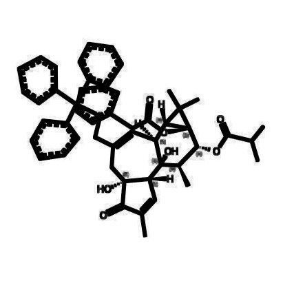 CC1=C[C@H]2[C@@]3(O)[C@H](C)[C@@H](OC(=O)C(C)C)[C@]4(OC(=O)Cc5ccccc5)[C@H]([C@@H]3C=C(COC(c3ccccc3)(c3ccccc3)c3ccccc3)C[C@]2(O)C1=O)C4(C)C